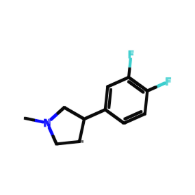 CN1C[CH]C(c2ccc(F)c(F)c2)C1